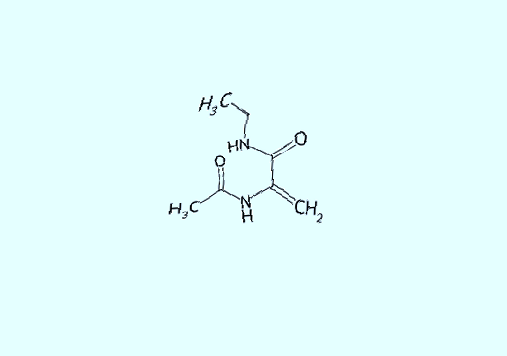 C=C(NC(C)=O)C(=O)NCC